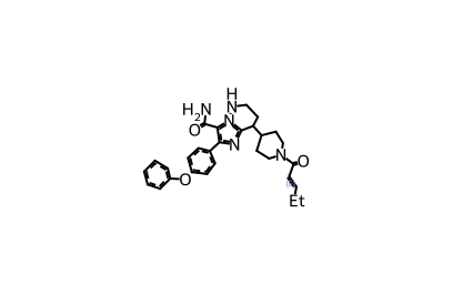 CC/C=C/C(=O)N1CCC(C2CCNn3c2nc(-c2ccc(Oc4ccccc4)cc2)c3C(N)=O)CC1